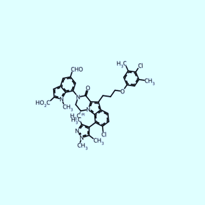 Cc1cc(OCCCc2c3n(c4c(-c5c(C)nn(C)c5C)c(Cl)ccc24)[C@H](C)CN(c2cc(C=O)cc4cc(C(=O)O)n(C)c24)C3=O)cc(C)c1Cl